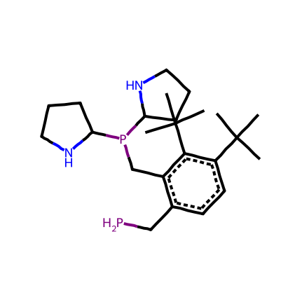 CC(C)(C)c1ccc(CP)c(CP(C2CCCN2)C2CCCN2)c1C(C)(C)C